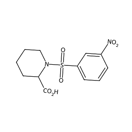 O=C(O)C1CCCCN1S(=O)(=O)c1cccc([N+](=O)[O-])c1